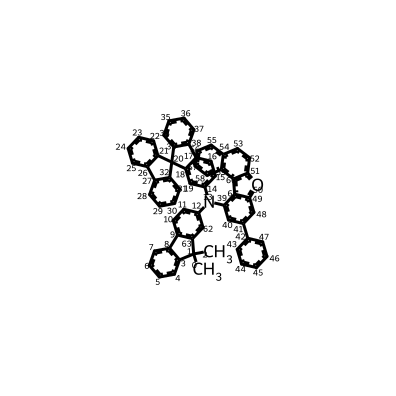 CC1(C)c2ccccc2-c2ccc(N(c3ccc4c(c3)C3(c5ccccc5-c5ccccc53)c3ccccc3-4)c3cc(-c4ccccc4)cc4oc5ccc6ccccc6c5c34)cc21